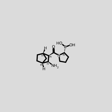 N[C@H]1[C@@H]2CC[C@@H](C2)[C@H]1C(=O)N1CCC[C@H]1B(O)O